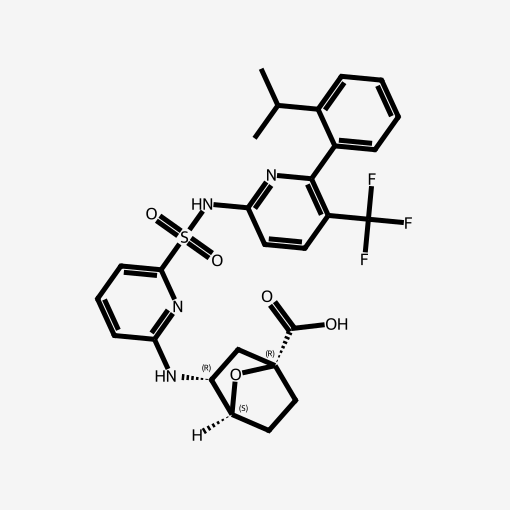 CC(C)c1ccccc1-c1nc(NS(=O)(=O)c2cccc(N[C@@H]3C[C@@]4(C(=O)O)CC[C@@H]3O4)n2)ccc1C(F)(F)F